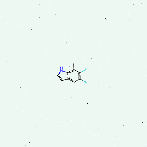 Cc1c(F)c(F)cc2cc[nH]c12